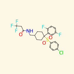 O=C(CC(F)(F)F)NCC1CCC(c2cc(F)ccc2F)(S(=O)(=O)c2ccc(Cl)cc2)CC1